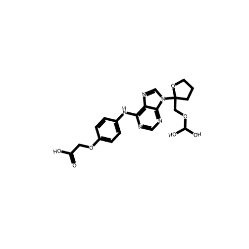 O=C(O)COc1ccc(Nc2ncnc3c2ncn3C2(COC(O)O)CCCO2)cc1